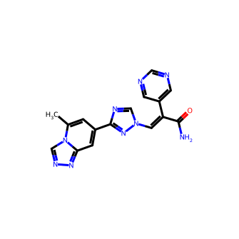 Cc1cc(-c2ncn(/C=C(/C(N)=O)c3cncnc3)n2)cc2nncn12